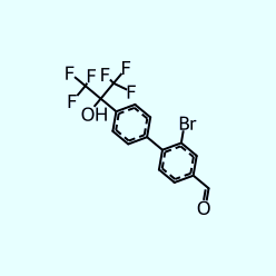 O=Cc1ccc(-c2ccc(C(O)(C(F)(F)F)C(F)(F)F)cc2)c(Br)c1